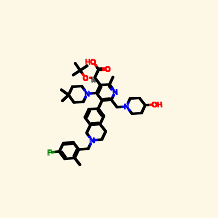 Cc1cc(F)ccc1CN1CCc2cc(-c3c(CN4CCC(O)CC4)nc(C)c([C@H](OC(C)(C)C)C(=O)O)c3N3CCC(C)(C)CC3)ccc2C1